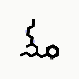 C=C/C=C\C=C(/C)CN(CCC)Cc1ccccn1